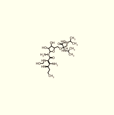 CCCC(=N)/C(N)=C(\NCO)C(=O)N(N)C1OC(COC(NC(C)C)(PNC(C)C)C(=O)O)C(O)C1O